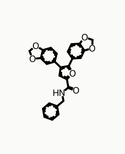 O=C(NCc1ccccc1)c1cc(-c2ccc3c(c2)OCO3)c(-c2ccc3c(c2)OCO3)o1